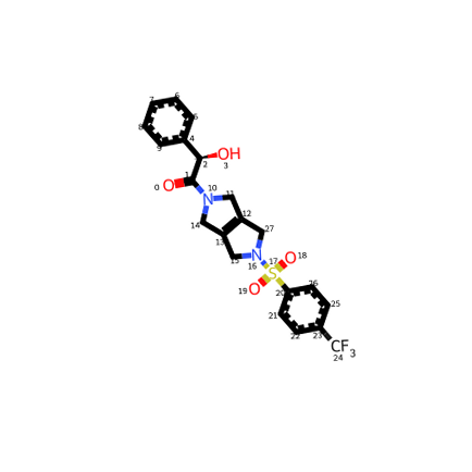 O=C([C@H](O)c1ccccc1)N1CC2=C(C1)CN(S(=O)(=O)c1ccc(C(F)(F)F)cc1)C2